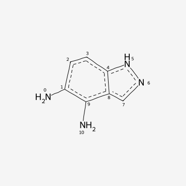 Nc1ccc2[nH]ncc2c1N